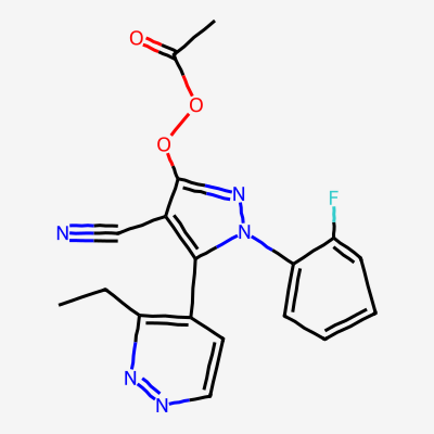 CCc1nnccc1-c1c(C#N)c(OOC(C)=O)nn1-c1ccccc1F